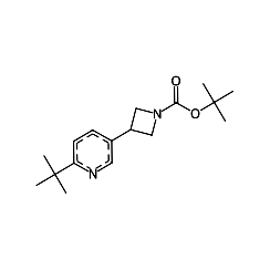 CC(C)(C)OC(=O)N1CC(c2ccc(C(C)(C)C)nc2)C1